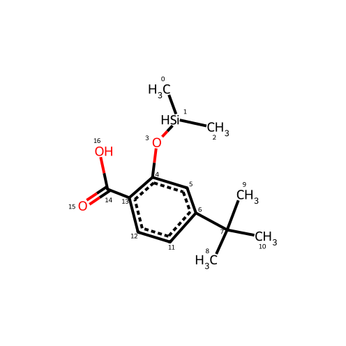 C[SiH](C)Oc1cc(C(C)(C)C)ccc1C(=O)O